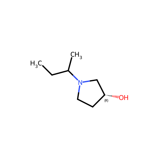 CCC(C)N1CC[C@@H](O)C1